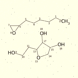 CCCCCCC1CO1.OCCC1OCC(O)C1O